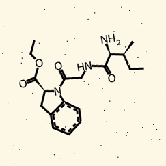 CCOC(=O)[C@@H]1Cc2ccccc2N1C(=O)CNC(=O)[C@@H](N)[C@@H](C)CC